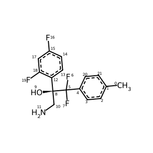 Cc1ccc(C(F)(F)[C@](O)(CN)c2ccc(F)cc2F)cc1